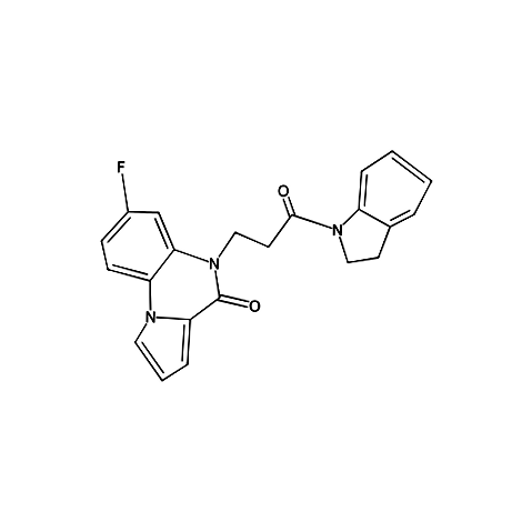 O=C(CCn1c(=O)c2cccn2c2ccc(F)cc21)N1CCc2ccccc21